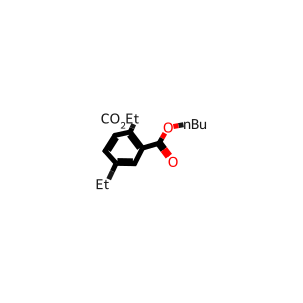 CCCCOC(=O)c1cc(CC)ccc1C(=O)OCC